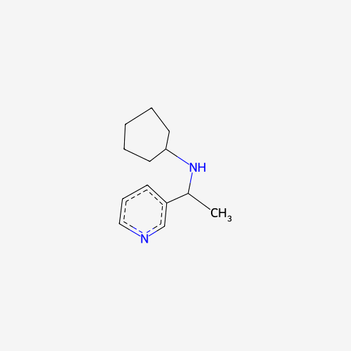 CC(NC1CCCCC1)c1cccnc1